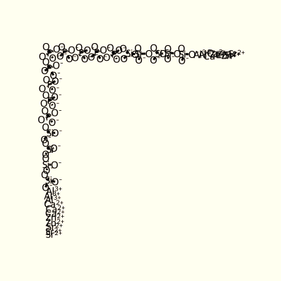 O=P([O-])([O-])[O-].O=P([O-])([O-])[O-].O=P([O-])([O-])[O-].O=P([O-])([O-])[O-].O=P([O-])([O-])[O-].O=P([O-])([O-])[O-].O=P([O-])([O-])[O-].O=P([O-])([O-])[O-].O=P([O-])([O-])[O-].O=[Si]([O-])[O-].O=[Si]([O-])[O-].O=[Si]([O-])[O-].O=[Si]([O-])[O-].O=[Si]([O-])[O-].O=[Si]([O-])[O-].O=[Si]([O-])[O-].O=[Si]([O-])[O-].O=[Si]([O-])[O-].[Al+3].[Al+3].[Al+3].[Al+3].[Al+3].[Ca+2].[Ca+2].[Ca+2].[Ca+2].[Ca+2].[Sr+2].[Sr+2].[Sr+2].[Sr+2].[Sr+2].[Zn+2].[Zn+2].[Zn+2].[Zn+2].[Zn+2]